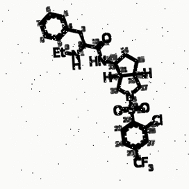 CCN[C@@H](Cc1ccccc1)C(=O)N[C@H]1CC[C@@H]2CN(S(=O)(=O)c3ccc(C(F)(F)F)cc3Cl)C[C@@H]21